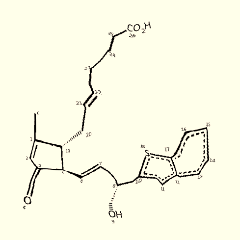 CC1=CC(=O)[C@H](C=C[C@@H](O)c2cc3ccccc3s2)[C@H]1CC=CCCCC(=O)O